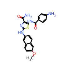 COc1ccc2cc(Nc3nc(C(N)=O)c(NC(=O)c4ccc(N)cc4)s3)ccc2c1